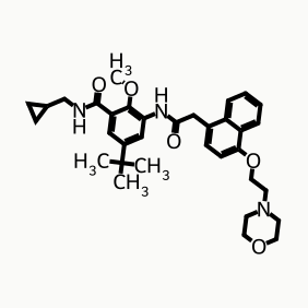 COc1c(NC(=O)Cc2ccc(OCCN3CCOCC3)c3ccccc23)cc(C(C)(C)C)cc1C(=O)NCC1CC1